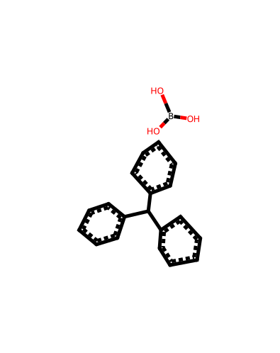 OB(O)O.c1ccc(C(c2ccccc2)c2ccccc2)cc1